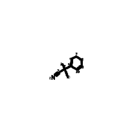 CC(C)(C#N)C1=CC[CH]C=C1